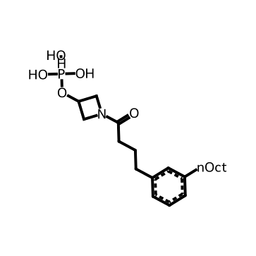 CCCCCCCCc1cccc(CCCC(=O)N2CC(O[PH](O)(O)O)C2)c1